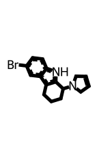 Brc1ccc2[nH]c3c(c2c1)CCCC3N1CC=CC1